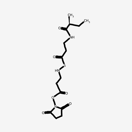 CC[C@H](C)C(=O)NCCC(=O)SNCCC(=O)ON1C(=O)CCC1=O